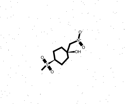 CS(=O)(=O)[C@H]1CC[C@](O)(C[N+](=O)[O-])CC1